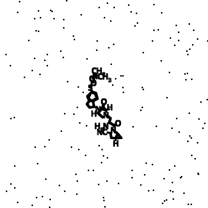 CN(C)OOSc1ccc2c(c1)CC[C@H]2N1C(=O)[C@@H]2C[C@H]1CN2C[C@H](N)C(=O)N1C2C[C@H]2C[C@H]1C#N